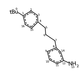 CC(C)(C)c1ccc(CCCc2cccc(N)c2)cc1